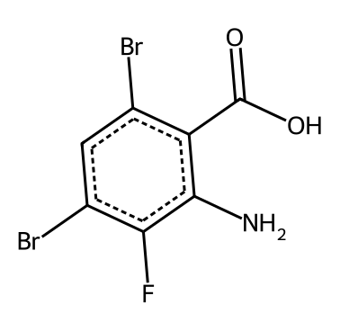 Nc1c(F)c(Br)cc(Br)c1C(=O)O